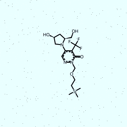 C[Si](C)(C)CCOCn1ncc(N2C[C@@H](O)C[C@H]2CO)c(C(F)(F)F)c1=O